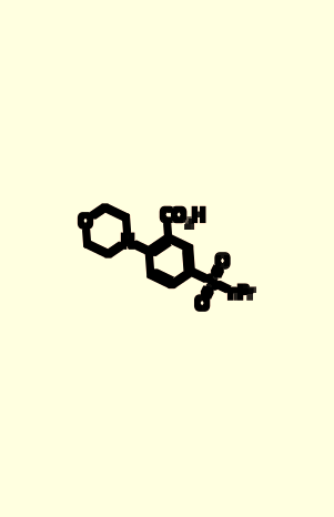 CCCS(=O)(=O)c1ccc(N2CCOCC2)c(C(=O)O)c1